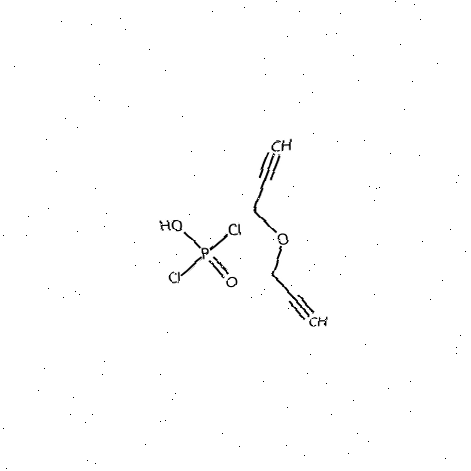 C#CCOCC#C.O=P(O)(Cl)Cl